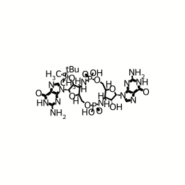 CC(C)(C)[Si](C)(C)OC1[C@H](n2cnc3c(=O)[nH]c(N)nc32)O[C@@H]2COP(=O)(O)N[C@H]3[C@@H](O)[C@H](n4cnc5c(=O)[nH]c(N)nc54)O[C@@H]3COP(=O)(O)N[C@@H]12